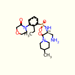 CCc1c(N2CCOCC2=O)cccc1S(=O)(=O)N[C@@H](CN)C(=O)N1CCC(C)CC1